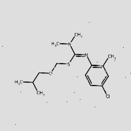 Cc1cc(Cl)ccc1N=C(SCOCC(C)C)N(C)C